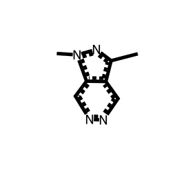 Cc1nn(C)c2cnncc12